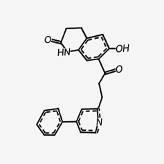 O=C1CCc2cc(O)c(C(=O)CCc3cc(-c4ccccc4)ccn3)cc2N1